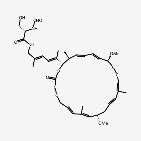 CO[C@@H]1/C=C(C)/C=C/CCCC(=O)O[C@H](/C(C)=C/C=C(\C)CNC(=O)[C@H](CO)NC=O)[C@@H](C)/C=C/C=C/[C@@H](OC)CC/C=C(C)\C=C\C1